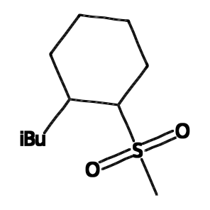 CCC(C)C1CCCCC1S(C)(=O)=O